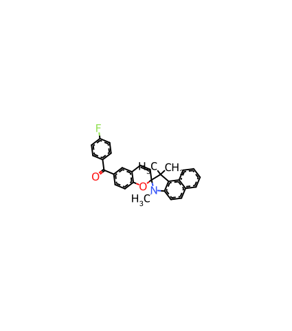 CN1c2ccc3ccccc3c2C(C)(C)C12C=Cc1cc(C(=O)c3ccc(F)cc3)ccc1O2